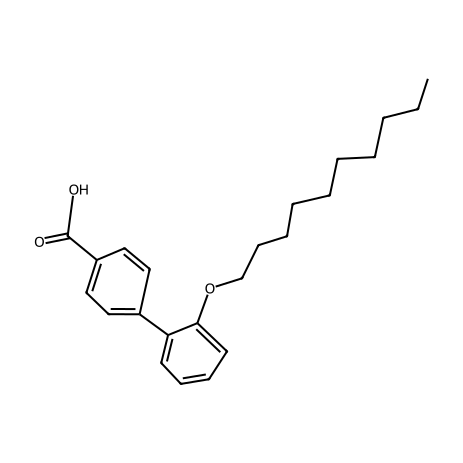 CCCCCCCCCCOc1ccccc1-c1ccc(C(=O)O)cc1